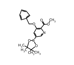 COC(=O)c1ncc(B2OC(C)(C)C(C)(C)O2)cc1OCc1ccccc1